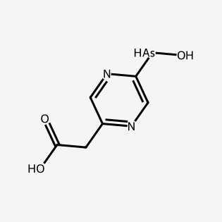 O=C(O)Cc1cnc([AsH]O)cn1